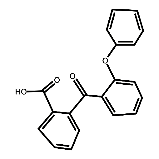 O=C(O)c1ccccc1C(=O)c1ccccc1Oc1ccccc1